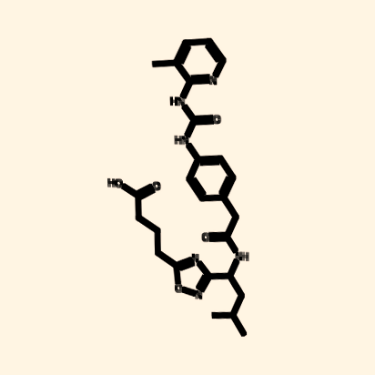 Cc1cccnc1NC(=O)Nc1ccc(CC(=O)NC(CC(C)C)c2noc(CCCC(=O)O)n2)cc1